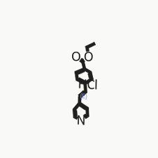 CCOC(=O)c1ccc(/C=C/c2ccncc2)cc1.Cl